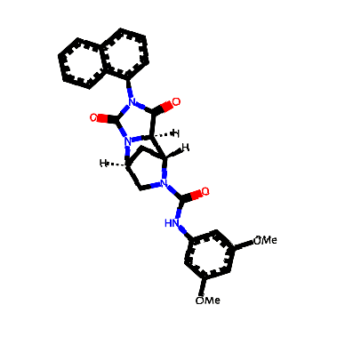 COc1cc(NC(=O)N2C[C@@H]3C[C@@H]2[C@@H]2C(=O)N(c4cccc5ccccc45)C(=O)N32)cc(OC)c1